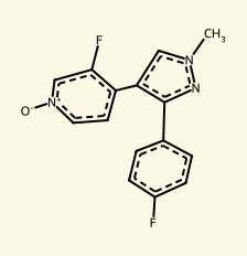 Cn1cc(-c2cc[n+]([O-])cc2F)c(-c2ccc(F)cc2)n1